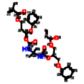 C=CC(=O)OCC(COc1ccccc1)OC(=O)NC(C)(C)NC(=O)OC(CCOC(=O)C(=C)C)Oc1ccccc1